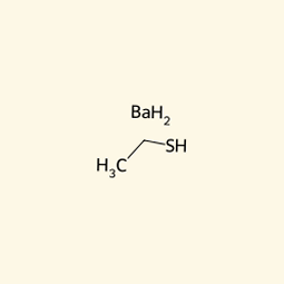 CCS.[BaH2]